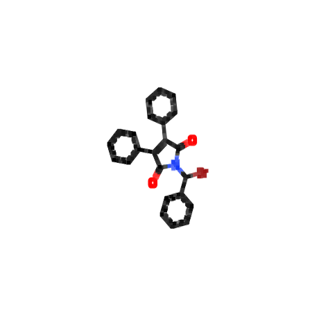 O=C1C(c2ccccc2)=C(c2ccccc2)C(=O)N1C(Br)c1ccccc1